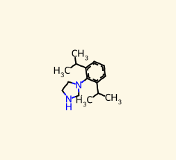 CC(C)c1cccc(C(C)C)c1N1[CH]NCC1